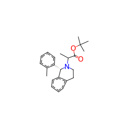 Cc1ccccc1[C@H]1c2ccccc2CCN1C(C)C(=O)OC(C)(C)C